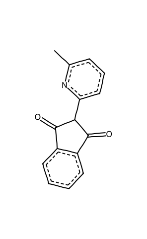 Cc1cccc(C2C(=O)c3ccccc3C2=O)n1